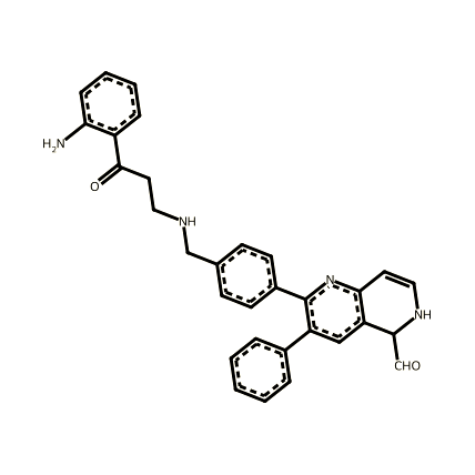 Nc1ccccc1C(=O)CCNCc1ccc(-c2nc3c(cc2-c2ccccc2)C(C=O)NC=C3)cc1